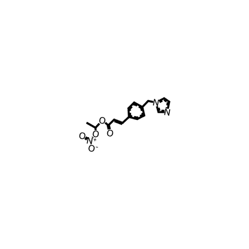 CC(OC(=O)/C=C/c1ccc(Cn2ccnc2)cc1)O[N+](=O)[O-]